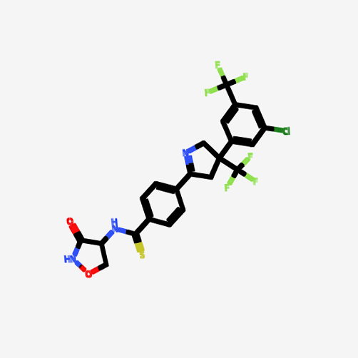 O=C1NOCC1NC(=S)c1ccc(C2=NCC(c3cc(Cl)cc(C(F)(F)F)c3)(C(F)(F)F)C2)cc1